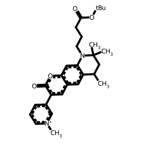 CC1CC(C)(C)N(CCCC(=O)OC(C)(C)C)c2cc3oc(=O)c(-c4ccc[n+](C)c4)cc3cc21